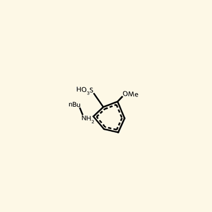 CCCCN.COc1ccccc1S(=O)(=O)O